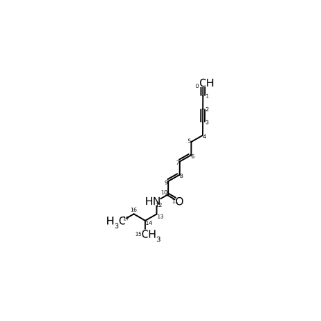 C#CC#CCC/C=C/C=C/C(=O)NCC(C)CC